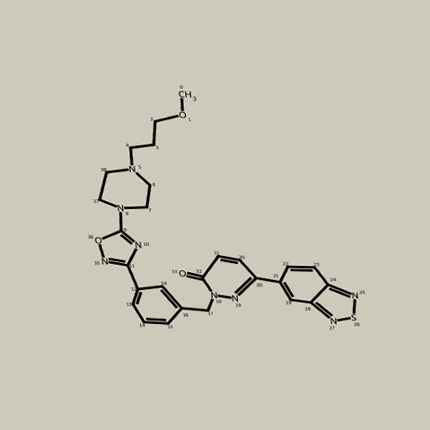 COCCCN1CCN(c2nc(-c3cccc(Cn4nc(-c5ccc6nsnc6c5)ccc4=O)c3)no2)CC1